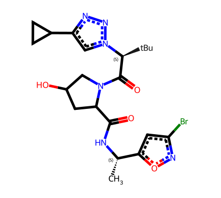 C[C@H](NC(=O)C1CC(O)CN1C(=O)[C@@H](n1cc(C2CC2)nn1)C(C)(C)C)c1cc(Br)no1